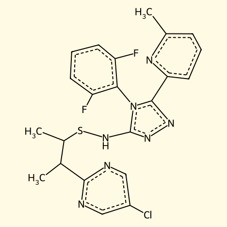 Cc1cccc(-c2nnc(NSC(C)C(C)c3ncc(Cl)cn3)n2-c2c(F)cccc2F)n1